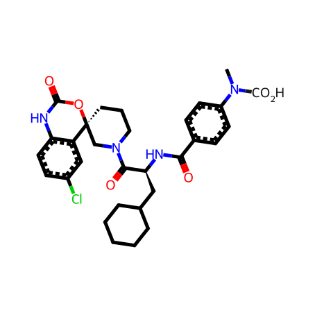 CN(C(=O)O)c1ccc(C(=O)N[C@@H](CC2CCCCC2)C(=O)N2CCC[C@@]3(C2)OC(=O)Nc2ccc(Cl)cc23)cc1